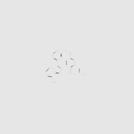 C[C@H](Nc1ccc([C@H](C)Nc2ncc(C#N)c(-c3cnc4c(C(F)F)cccn34)n2)cc1)C(N)=O